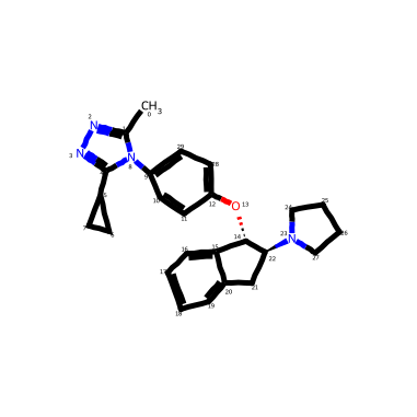 Cc1nnc(C2CC2)n1-c1ccc(O[C@H]2c3ccccc3C[C@@H]2N2CCCC2)cc1